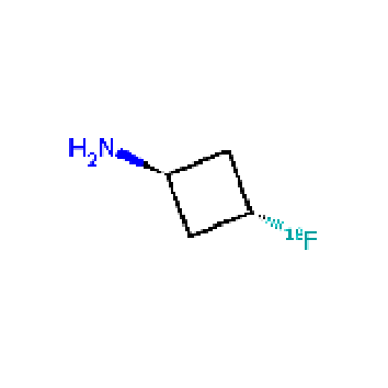 N[C@H]1C[C@H]([18F])C1